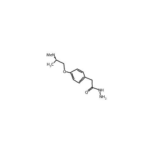 CN[C@H](C)COc1ccc(CC(=O)NN)cc1